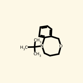 CC(C)(C)N1CCCOCc2ccccc21